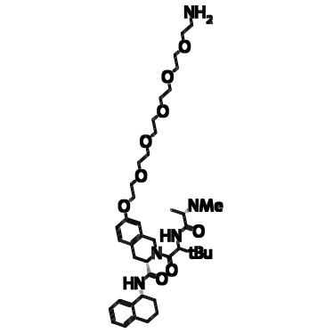 CN[C@@H](C)C(=O)NC(C(=O)N1Cc2cc(OCCOCCOCCOCCOCCOCCN)ccc2C[C@H]1C(=O)N[C@@H]1CCCc2ccccc21)C(C)(C)C